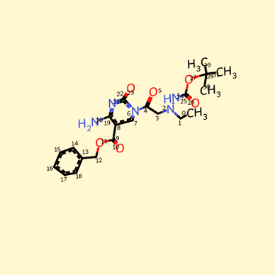 CCN(CC(=O)n1cc(C(=O)OCc2ccccc2)c(N)nc1=O)NC(=O)OC(C)(C)C